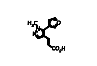 Cn1ncc(C=CC(=O)O)c1-c1ccoc1